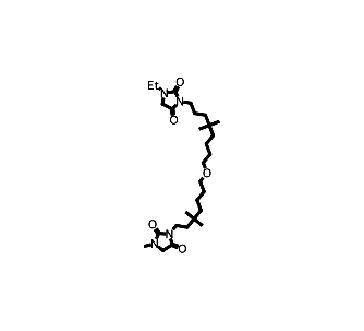 CCN1CC(=O)N(CCCC(C)(C)CCCCOCCCCC(C)(C)CCN2C(=O)CN(C)C2=O)C1=O